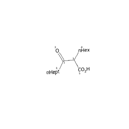 CCCCCCCC(=O)C(CCCCCC)C(=O)O